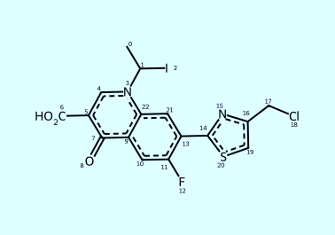 CC(I)n1cc(C(=O)O)c(=O)c2cc(F)c(-c3nc(CCl)cs3)cc21